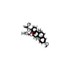 COc1ccc2c(c1)CC[C@@H]1[C@@H]2CC[C@@]2(C)[C@]13CC[C@@]2(OC(C)=O)[C@H](CO)C3